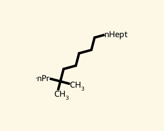 CC[CH]C(C)(C)CCCCCCCCCCCC